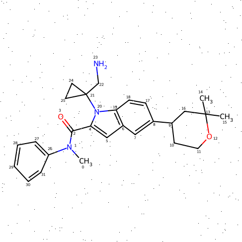 CN(C(=O)c1cc2cc(C3CCOC(C)(C)C3)ccc2n1C1(CN)CC1)c1ccccc1